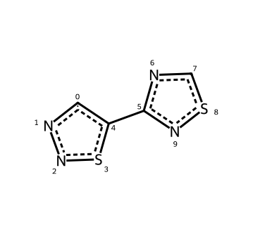 [c]1nnsc1-c1ncsn1